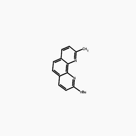 CCCCc1ccc2ccc3ccc(C)nc3c2n1